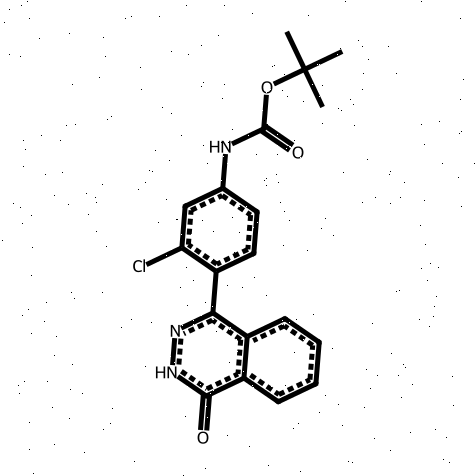 CC(C)(C)OC(=O)Nc1ccc(-c2n[nH]c(=O)c3ccccc23)c(Cl)c1